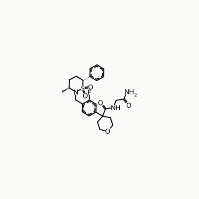 C[C@H]1CC[C@H](c2ccccc2)S(=O)(=O)N1Cc1ccc(C2(C(=O)NCC(N)=O)CCOCC2)cc1F